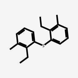 CCc1c(C)cccc1Sc1cccc(C)c1CC